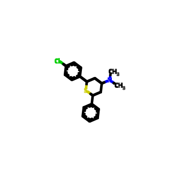 CN(C)C1CC(c2ccccc2)SC(c2ccc(Cl)cc2)C1